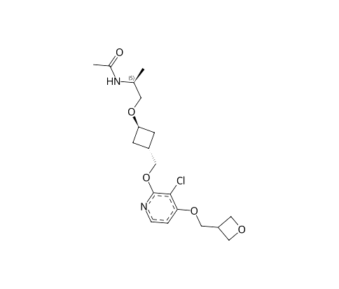 CC(=O)N[C@@H](C)CO[C@H]1C[C@H](COc2nccc(OCC3COC3)c2Cl)C1